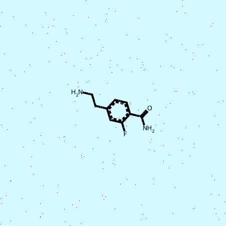 NCCc1ccc(C(N)=O)c(F)c1